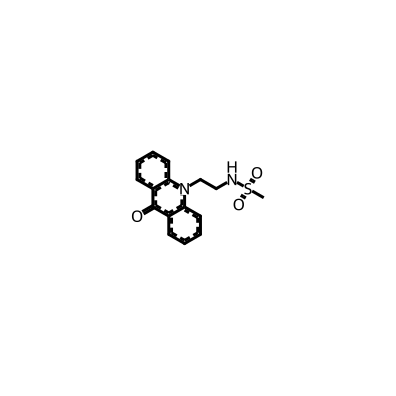 CS(=O)(=O)NCCn1c2ccccc2c(=O)c2ccccc21